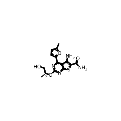 Cc1ccc(-c2nc(O[C@@H](C)CO)nc3sc(C(N)=O)c(N)c23)o1